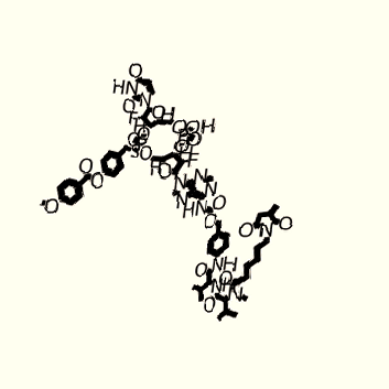 C=C1CC(=O)N(CCCCCC(=O)N(C)C(C(=O)NC(C(=O)Nc2ccc(COC(=O)Nc3ncnc4c3ncn4[C@@H]3O[C@@H]4COP(=O)(SCc5ccc(OC(=O)c6ccc(OC)cc6)cc5)O[C@H]5[C@@H](F)[C@H](n6ccc(=O)[nH]c6=O)O[C@@H]5COP(=O)(O)O[C@H]4[C@H]3F)cc2)C(C)C)C(C)C)C1=O